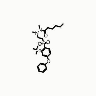 CCCCCC(=O)N(C)N(C)CCS(=O)(=O)c1ccc(Oc2ccccc2)c[c]1[Sn]([CH3])([CH3])[CH3]